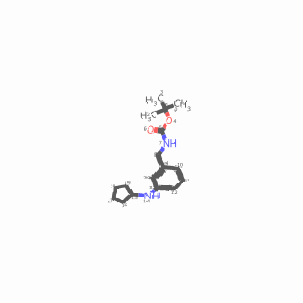 CC(C)(C)OC(=O)NCc1cccc(NC2CCCC2)c1